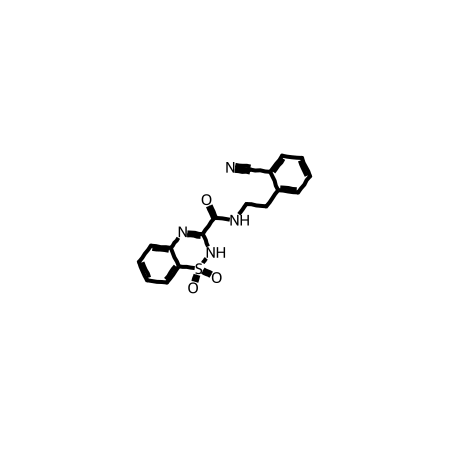 N#Cc1ccccc1CCNC(=O)C1=Nc2ccccc2S(=O)(=O)N1